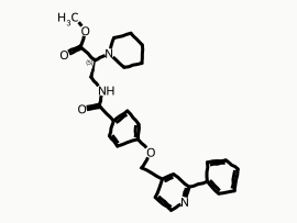 COC(=O)[C@H](CNC(=O)c1ccc(OCc2ccnc(-c3ccccc3)c2)cc1)N1CCCCC1